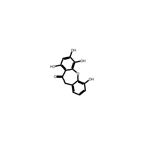 O=C1Cc2cccc(O)c2Oc2c(O)c(O)cc(O)c21